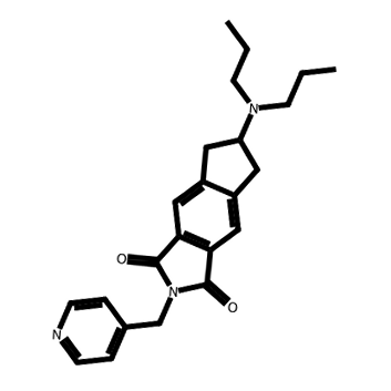 CCCN(CCC)C1Cc2cc3c(cc2C1)C(=O)N(Cc1ccncc1)C3=O